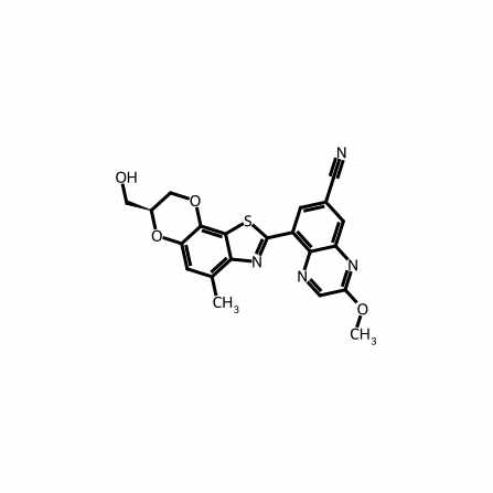 COc1cnc2c(-c3nc4c(C)cc5c(c4s3)OC[C@H](CO)O5)cc(C#N)cc2n1